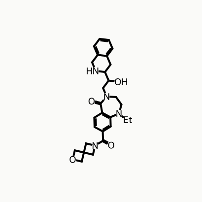 CCN1CCN(CC(O)C2Cc3ccccc3CN2)C(=O)c2ccc(C(=O)N3CC4(COC4)C3)cc21